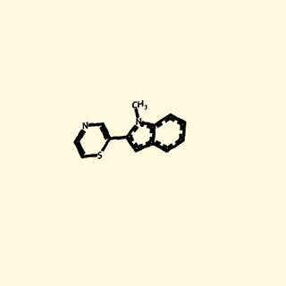 Cn1c(C2=CN=C=CS2)cc2ccccc21